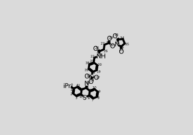 CC(C)c1ccc2sc3ccccc3/c(=N\OS(=O)(=O)c3ccc(CNC(=O)CCC(=O)ON4C(=O)CCC4=O)cc3)c2c1